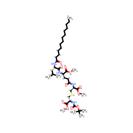 CCCCCCCCCCCCCC(=O)N[C@@H](CC(C)C)C(=O)N[C@H](CCC(=O)N[C@H](CSC[C@H](NC(=O)OC(C)(C)C)C(=O)OC)C(=O)OC)C(=O)OC